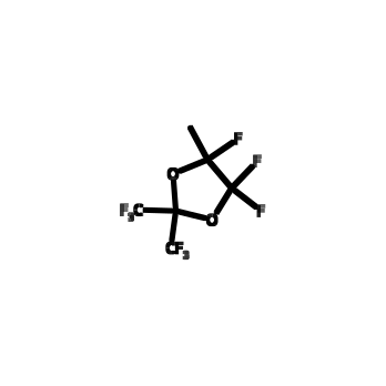 CC1(F)OC(C(F)(F)F)(C(F)(F)F)OC1(F)F